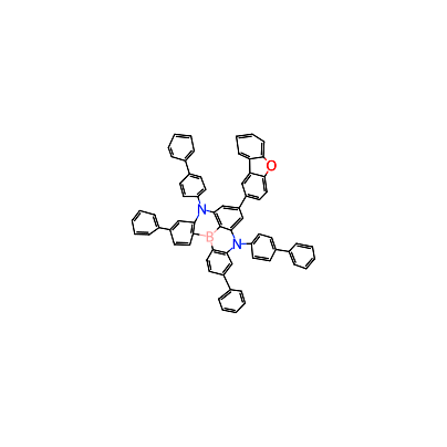 c1ccc(-c2ccc(N3c4cc(-c5ccccc5)ccc4B4c5ccc(-c6ccccc6)cc5N(c5ccc(-c6ccccc6)cc5)c5cc(-c6ccc7oc8ccccc8c7c6)cc3c54)cc2)cc1